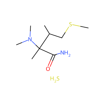 CSCC(C)C(C)(C(N)=O)N(C)C.S